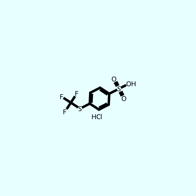 Cl.O=S(=O)(O)c1ccc(SC(F)(F)F)cc1